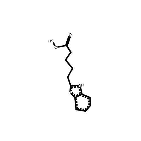 O=C(CCCCc1nc2ccccc2[nH]1)OS